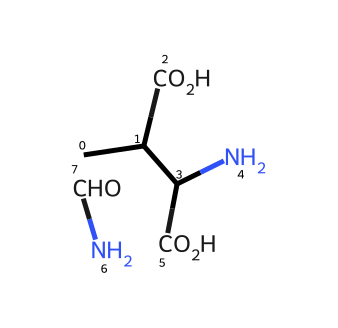 CC(C(=O)O)C(N)C(=O)O.NC=O